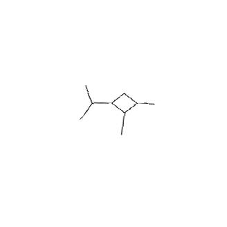 CC(C)C1CC(C)C1C